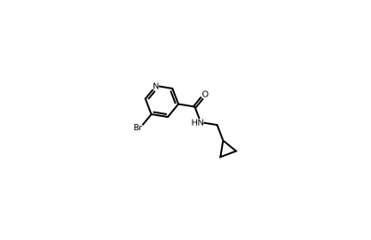 O=C(NCC1CC1)c1cncc(Br)c1